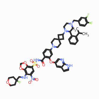 CC(C)c1ccccc1C1CN(Cc2ccc(F)c(F)c2)CCN1C1CC2(CCN(c3ccc(C(=O)NS(=O)(=O)c4cc([N+](=O)[O-])c(NCC5(F)CCOCC5)c5c4OCO5)c(Oc4cnc5[nH]ccc5c4)c3)CC2)C1